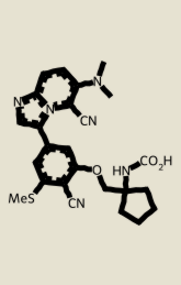 CSc1cc(-c2cnc3ccc(N(C)C)c(C#N)n23)cc(OCC2(NC(=O)O)CCCC2)c1C#N